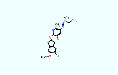 CCN(C)/C=N/c1cc(Br)c(OC2Cc3cc(Cl)c(OC)cc3C2)nc1C